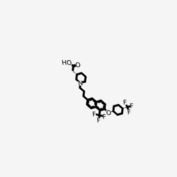 O=C(O)C[C@@H]1CCCN(CCCc2ccc3c(C(F)(F)F)c(O[C@H]4CC[C@@H](C(F)(F)F)CC4)ccc3c2)C1